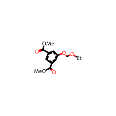 CCOCOc1cc(C(=O)OC)cc(C(=O)OC)c1